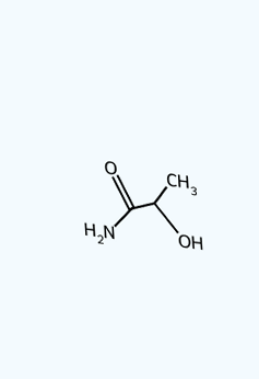 CC(O)C(N)=O